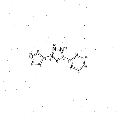 c1ccc(-c2cn(-c3ccoc3)nn2)cc1